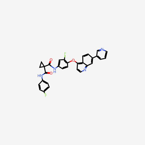 O=C(Nc1ccc(F)cc1)C1(C(=O)Nc2ccc(Oc3ccnc4cc(-c5cccnc5)ccc34)c(F)c2)CC1